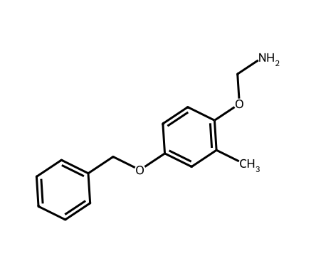 Cc1cc(OCc2ccccc2)ccc1OCN